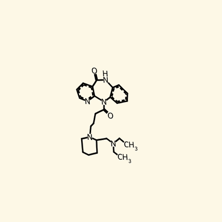 CCN(CC)CC1CCCCN1CCCC(=O)N1c2ccccc2NC(=O)c2cccnc21